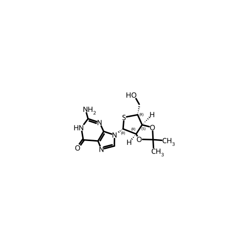 CC1(C)O[C@@H]2[C@H](O1)[C@@H](CO)S[C@H]2n1cnc2c(=O)[nH]c(N)nc21